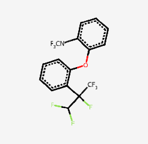 FC(F)C(F)(c1ccccc1Oc1ccccc1NC(F)(F)F)C(F)(F)F